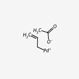 C=C[CH2][Pd+].CC(=O)[O-]